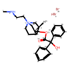 Br.CNCC[N+]12CCC(CC1)[C@@H](OC(=O)C(O)(c1ccccc1)c1ccccc1)C2.[Br-]